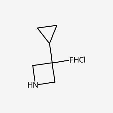 Cl.FC1(C2CC2)CNC1